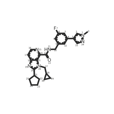 Cn1cc(-c2cc(F)cc(CNC(=O)c3nccc4nc(C5CCCC5)n(CC5CC5)c34)c2)cn1